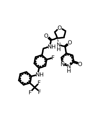 O=C(N[C@@]1(C(=O)NCc2ccc(Nc3ccccc3C(F)(F)F)cc2F)CCOC1)c1cn[nH]c(=O)c1